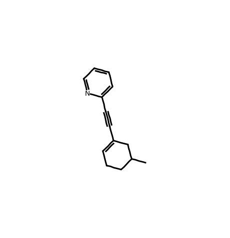 CC1CCC=C(C#Cc2ccccn2)C1